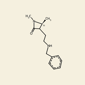 C[C@H]1C(CCNCc2ccccc2)C(=O)N1C